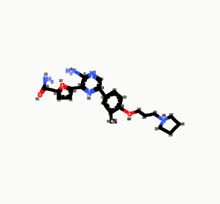 N#Cc1cc(-c2cnc(N)c(-c3ccc(C(N)=O)o3)n2)ccc1OCCCN1CCCC1